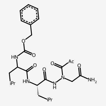 CC(=O)C(=O)N(CC(N)=O)NC(=O)[C@H](CC(C)C)NC(=O)C(CC(C)C)NC(=O)OCc1ccccc1